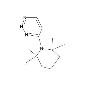 CC1(C)CCCC(C)(C)N1c1ccnnn1